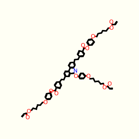 C=CC(=O)OCCCCCCOc1ccc(OC(=O)c2ccc(CCc3ccc4c(c3)nc(Oc3ccc(OCCCCCCOC(=O)C=C)cc3)c3cc(CCc5ccc(C(=O)Oc6ccc(OCCCCCCOC(=O)C=C)cc6)cc5)ccc34)cc2)cc1